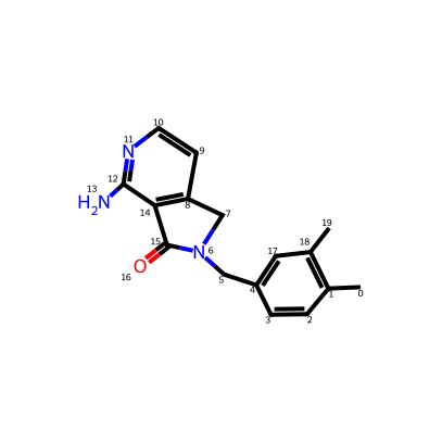 Cc1ccc(CN2Cc3ccnc(N)c3C2=O)cc1C